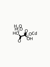 O.O.O.O=C(O)C(=O)O.[Cd]